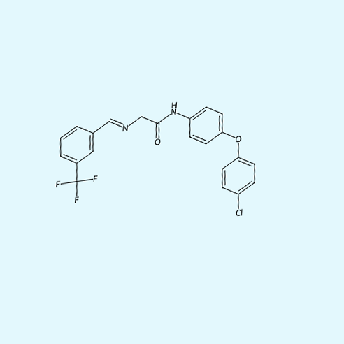 O=C(CN=Cc1cccc(C(F)(F)F)c1)Nc1ccc(Oc2ccc(Cl)cc2)cc1